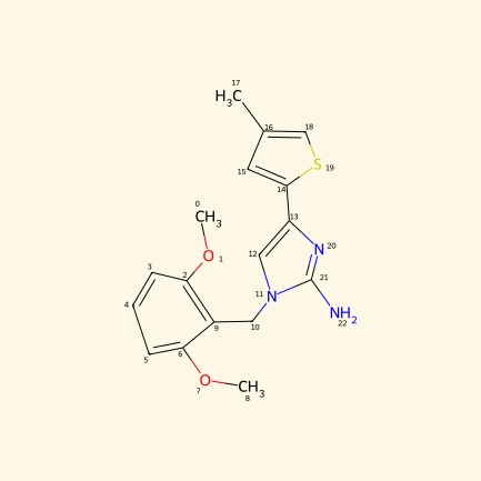 COc1cccc(OC)c1Cn1cc(-c2cc(C)cs2)nc1N